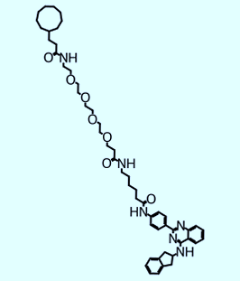 O=C(CCOCCOCCOCCOCCNC(=O)CCC1CCCCCCCC1)NCCCCCC(=O)Nc1ccc(-c2nc(NC3Cc4ccccc4C3)c3ccccc3n2)cc1